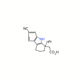 CCCC1(CC(=O)O)CCCc2c1[nH]c1cc(C#N)ccc21